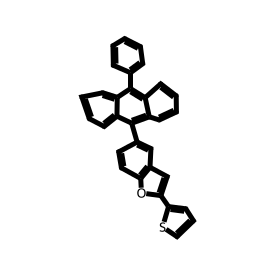 c1ccc(-c2c3ccccc3c(-c3ccc4oc(-c5cccs5)cc4c3)c3ccccc23)cc1